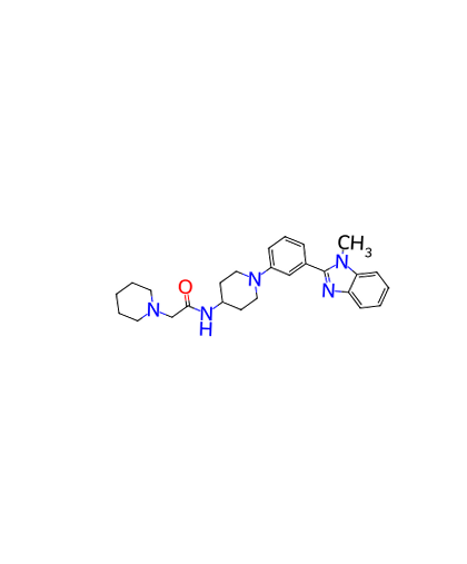 Cn1c(-c2cccc(N3CCC(NC(=O)CN4CCCCC4)CC3)c2)nc2ccccc21